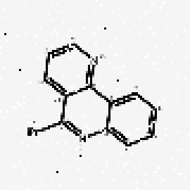 CC(C)c1nc2ccccc2c2ncccc12